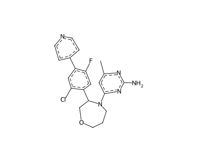 Cc1cc(N2CCCOCC2c2cc(F)c(-c3ccncc3)cc2Cl)nc(N)n1